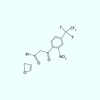 C1=COC1.CC(C)C(=O)CC(=O)c1ccc(C(F)(F)C(F)(F)F)cc1[N+](=O)[O-]